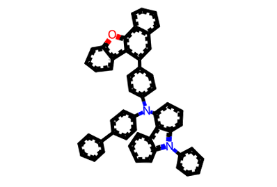 c1ccc(-c2ccc(N(c3ccc(-c4cc5ccccc5c5oc6ccccc6c45)cc3)c3cccc4c3c3ccccc3n4-c3ccccc3)cc2)cc1